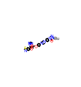 CCC(C)n1ncn(-c2ccc(N3CCN(c4ccc(OCC5COC(Cn6nccn6)(c6ccc7ncsc7c6)O5)cc4)CC3)cc2)c1=O